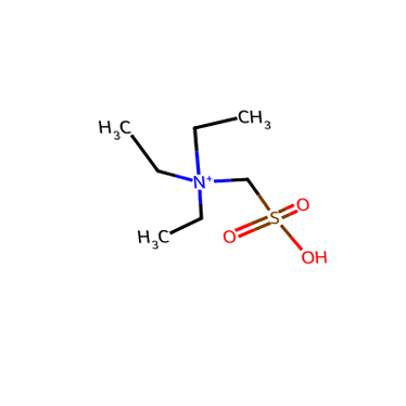 CC[N+](CC)(CC)CS(=O)(=O)O